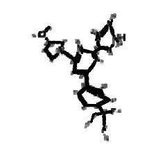 CO[C@H]1CCN(c2cc(-c3ccc(C(F)(F)F)cc3)nc(-c3nn[nH]n3)n2)C1